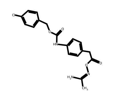 C/C(N)=N/OC(=O)Cc1ccc(NC(=O)OCc2ccc(Cl)cc2)cc1